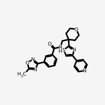 Cc1nc(-c2cccc(C(=O)NCC3(c4nc(-c5ccncc5)cs4)CCOCC3)c2)no1